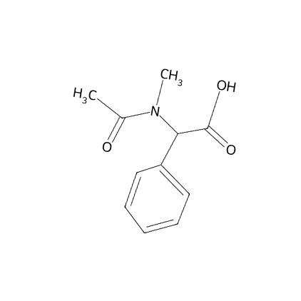 CC(=O)N(C)C(C(=O)O)c1ccccc1